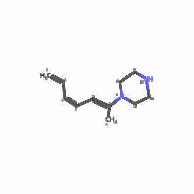 C=C/C=C\C=C(/C)N1CCNCC1